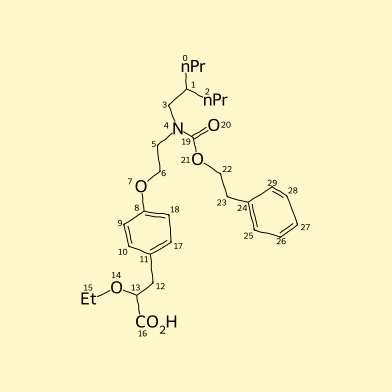 CCCC(CCC)CN(CCOc1ccc(CC(OCC)C(=O)O)cc1)C(=O)OCCc1ccccc1